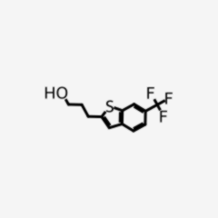 OCCCc1cc2ccc(C(F)(F)F)cc2s1